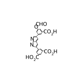 O=COc1cc(C(=O)O)cc(-c2cnc3ncc(-c4cc(C(=O)O)cc(C(=O)O)c4)cc3c2)c1